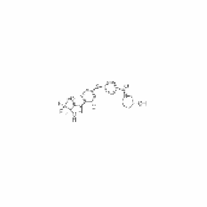 C[C@@](O)(C(=O)Nc1ccc(Sc2ccc(C(=O)N3CCCC(O)C3)cc2)cc1Cl)C(F)(F)F